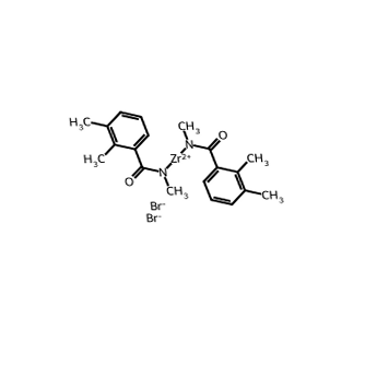 Cc1cccc(C(=O)[N](C)[Zr+2][N](C)C(=O)c2cccc(C)c2C)c1C.[Br-].[Br-]